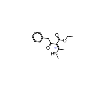 CCOC(=O)/C(C(=O)Cc1ccccc1)=C(\C)NC